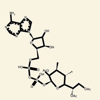 CC(=O)OC[C@H](OC(C)=O)C1O[C@@H](OP(=O)(O)OP(=O)(O)OC[C@H]2O[C@@H](n3cnc4c(N)ncnc43)C(O)[C@H]2O)C(OC(C)=O)[C@@H](C)[C@@H]1C